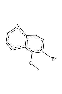 COc1c(Br)ccc2ncccc12